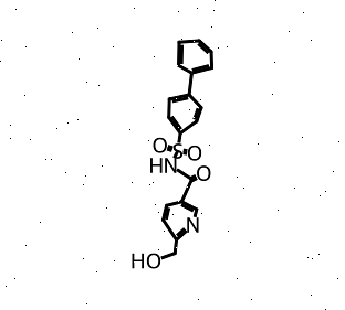 O=C(NS(=O)(=O)c1ccc(-c2ccccc2)cc1)c1ccc(CO)nc1